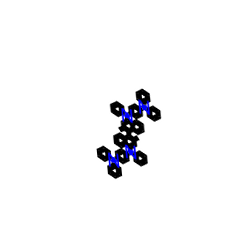 CC1=C(c2c(C)cc(N(c3ccccc3)c3ccc(N(c4ccccc4)c4ccccc4)cc3)c3ccccc23)C2C=CC=CC2C(N(c2ccccc2)c2ccc(N(c3ccccc3)c3ccccc3)cc2)=C1